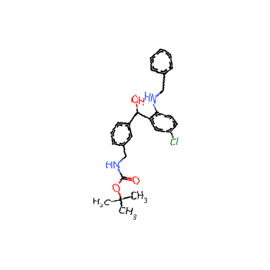 CC(C)(C)OC(=O)NCc1cccc(C(O)c2cc(Cl)ccc2NCc2ccccc2)c1